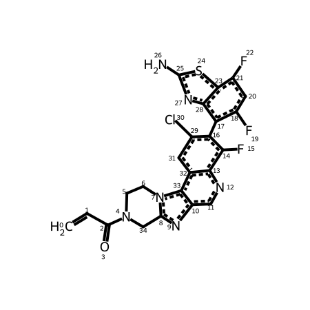 C=CC(=O)N1CCn2c(nc3cnc4c(F)c(-c5c(F)cc(F)c6sc(N)nc56)c(Cl)cc4c32)C1